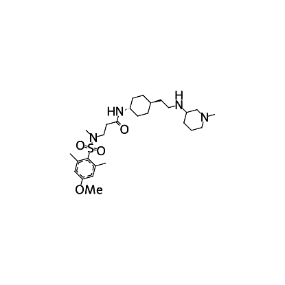 COc1cc(C)c(S(=O)(=O)N(C)CCC(=O)N[C@H]2CC[C@H](CCNC3CCCN(C)C3)CC2)c(C)c1